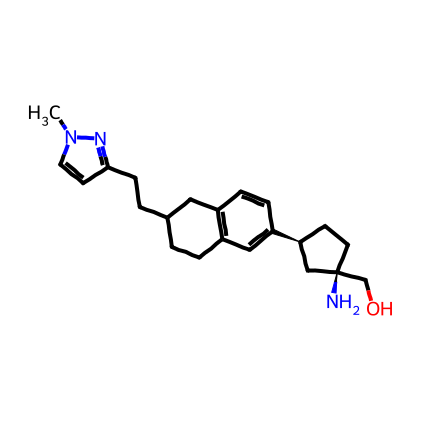 Cn1ccc(CCC2CCc3cc([C@H]4CC[C@](N)(CO)C4)ccc3C2)n1